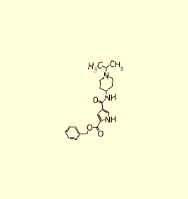 CC(C)N1CCC(NC(=O)c2c[nH]c(C(=O)OCc3ccccc3)c2)CC1